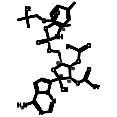 CCC(C)(C)COC(=O)[C@H](C)NP(=O)(OC[C@H]1O[C@@](C#N)(c2ccc3c(N)ncnn23)[C@H](OC(=O)C(C)C)[C@@H]1OC(=O)C(C)C)Oc1ccc(C)cc1